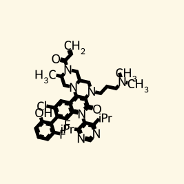 C=CC(=O)N1CC2CN(CCCN(C)C)c3c(c4cc(Cl)c(-c5c(O)cccc5F)c(F)c4n(-c4c(C(C)C)ncnc4C(C)C)c3=O)N2CC1C